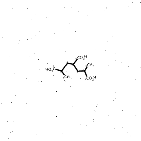 CC(CC(CC(C)C(=O)O)C(=O)O)C(=O)O